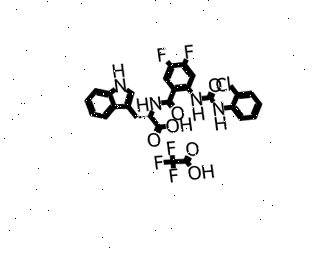 O=C(Nc1ccccc1Cl)Nc1cc(F)c(F)cc1C(=O)N[C@@H](Cc1c[nH]c2ccccc12)C(=O)O.O=C(O)C(F)(F)F